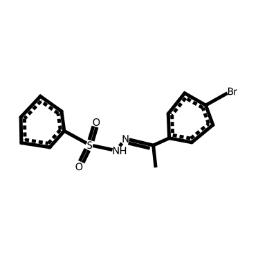 C/C(=N\NS(=O)(=O)c1ccccc1)c1ccc(Br)cc1